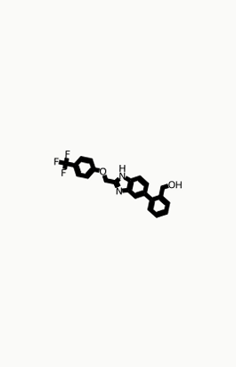 OCc1ccccc1-c1ccc2[nH]c(COc3ccc(C(F)(F)F)cc3)nc2c1